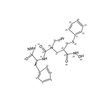 CNC(=O)[C@H](Cc1ccccc1)NC(=O)N(CC(C)C)CC(CSc1ccccc1)C(=O)NO